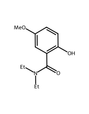 CCN(CC)C(=O)c1cc(OC)ccc1O